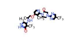 Cc1c(OCC(C)Nc2cn[nH]c(=O)c2C(F)(F)F)ccnc1N1CCN(c2ncc(C(F)(F)F)cn2)CC1=O